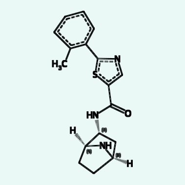 Cc1ccccc1-c1ncc(C(=O)N[C@@H]2C[C@H]3CC[C@@H]2N3)s1